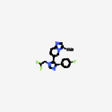 CNc1cnc2ccc(-c3c(-c4ccc(F)cc4)ncn3CC(F)F)cn12